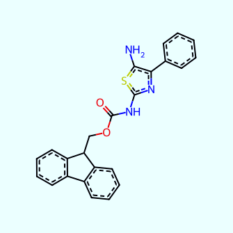 Nc1sc(NC(=O)OCC2c3ccccc3-c3ccccc32)nc1-c1ccccc1